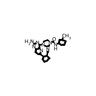 Cc1cccc(NC(=O)N2CCN(c3nc(N)nc4ccc(-c5ccccc5C#N)nc34)CC2)c1